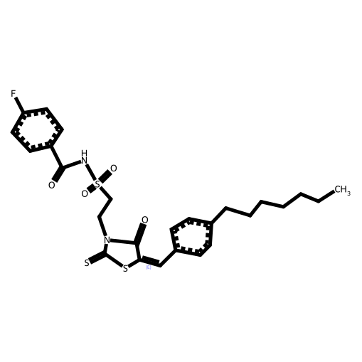 CCCCCCCc1ccc(/C=C2/SC(=S)N(CCS(=O)(=O)NC(=O)c3ccc(F)cc3)C2=O)cc1